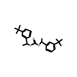 CC(OC(=O)OC(C)c1cccc(C(C)(C)C)c1)c1cccc(C(C)(C)C)c1